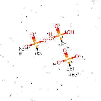 CCP(=O)(O)O.CCP(=O)([O-])[O-].CCP(=O)([O-])[O-].[Fe+2].[Fe+2]